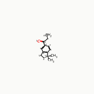 BCC(=O)c1ccc2c(c1)CCC2(C)C